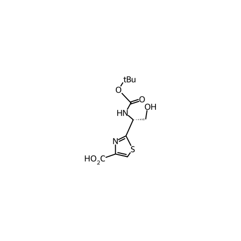 CC(C)(C)OC(=O)N[C@H](CO)c1nc(C(=O)O)cs1